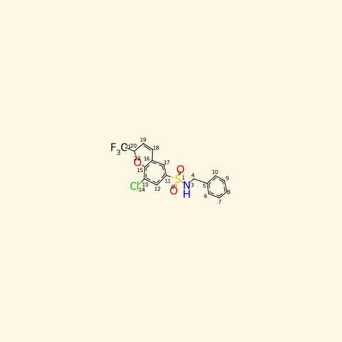 O=S(=O)(NCc1ccccc1)c1cc(Cl)c2c(c1)C=CC(C(F)(F)F)O2